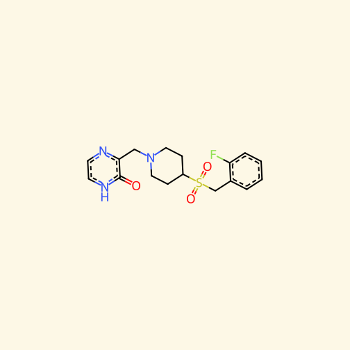 O=c1[nH]ccnc1CN1CCC(S(=O)(=O)Cc2ccccc2F)CC1